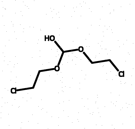 OC(OCCCl)OCCCl